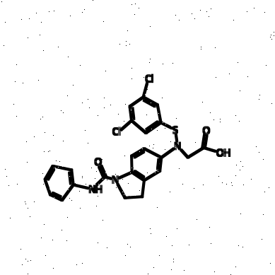 O=C(O)CN(Sc1cc(Cl)cc(Cl)c1)c1ccc2c(c1)CCN2C(=O)Nc1ccccc1